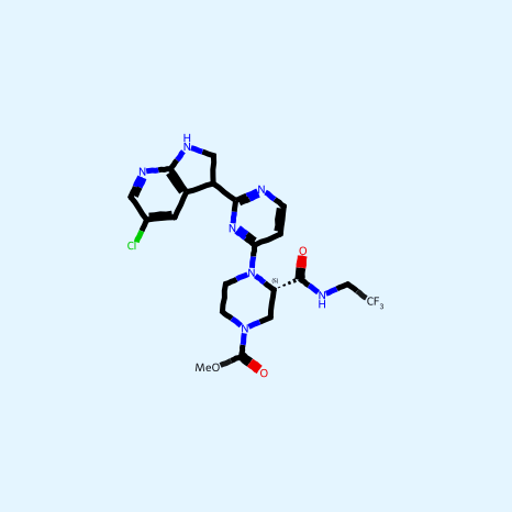 COC(=O)N1CCN(c2ccnc(C3CNc4ncc(Cl)cc43)n2)[C@H](C(=O)NCC(F)(F)F)C1